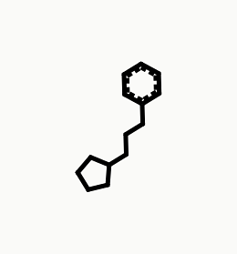 c1ccc(CCCC2CCCC2)cc1